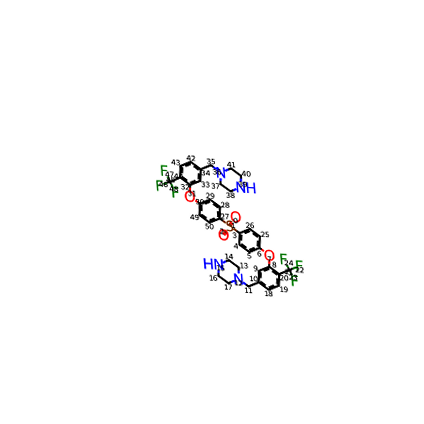 O=S(=O)(c1ccc(Oc2cc(CN3CCNCC3)ccc2C(F)(F)F)cc1)c1ccc(Oc2cc(CN3CCNCC3)ccc2C(F)(F)F)cc1